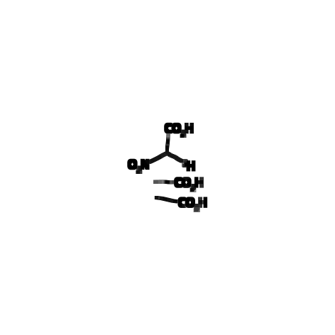 CC(=O)O.CC(=O)O.[3H]C(C(=O)O)[N+](=O)[O-]